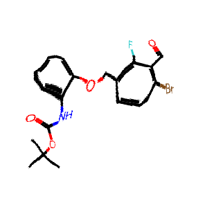 CC(C)(C)OC(=O)Nc1ccccc1OCc1ccc(Br)c(C=O)c1F